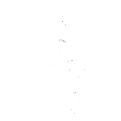 NCC(=O)OC1COC2C(OC(=O)CN)COC12